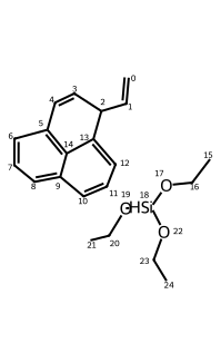 C=CC1C=Cc2cccc3cccc1c23.CCO[SiH](OCC)OCC